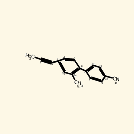 CC#Cc1ccc(-c2ccc(C#N)cc2)c(C)c1